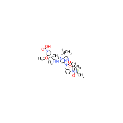 C=C(F)C(=O)Nc1cccc(CN(C(=O)OC(C)(C)C)c2cc(NCCC(C)(C)[C@H]3CCN(C(=O)O)C[C@@H]3OC)nc3c(C(C)C)cnn23)c1